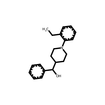 CCc1ccccc1N1CCC(C(O)c2ccccc2)CC1